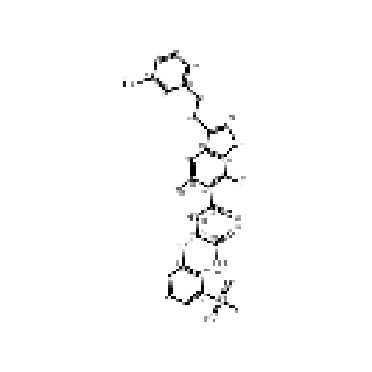 CS(=O)(=O)c1cccc(C[C@H](NC(=O)c2c(Cl)cc3c(CCc4cccc(O)c4)nsc3c2Cl)C(=O)O)c1